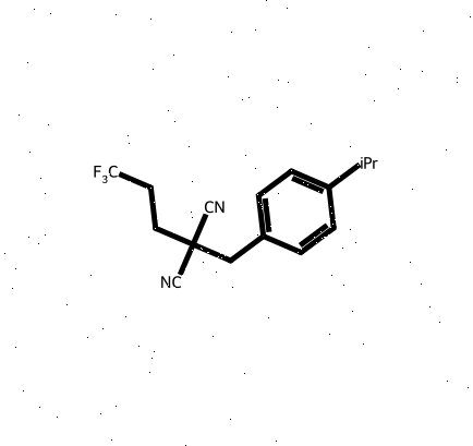 CC(C)c1ccc(CC(C#N)(C#N)CCC(F)(F)F)cc1